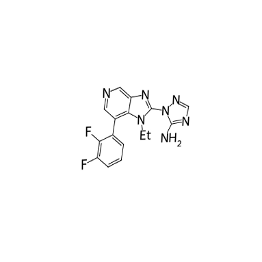 CCn1c(-n2ncnc2N)nc2cncc(-c3cccc(F)c3F)c21